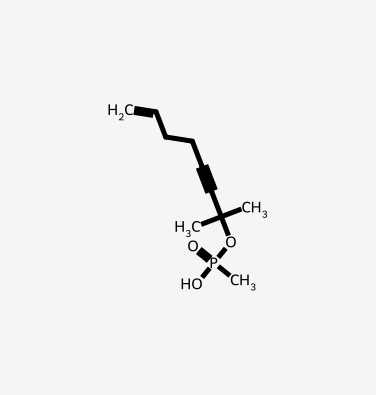 C=CCCC#CC(C)(C)OP(C)(=O)O